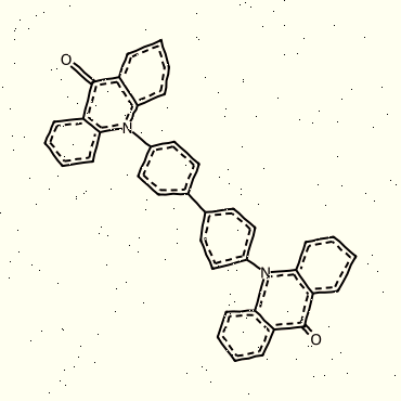 O=c1c2ccccc2n(-c2ccc(-c3ccc(-n4c5ccccc5c(=O)c5ccccc54)cc3)cc2)c2ccccc12